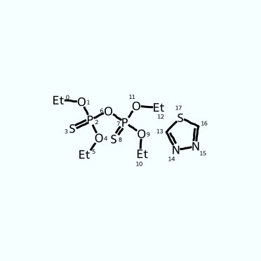 CCOP(=S)(OCC)OP(=S)(OCC)OCC.c1nncs1